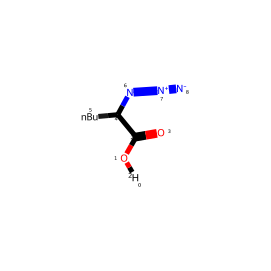 [2H]OC(=O)C(CCCC)N=[N+]=[N-]